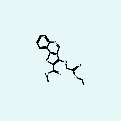 CCOC(=O)COc1c(C(=O)OC)sc2c1cnc1ccccc12